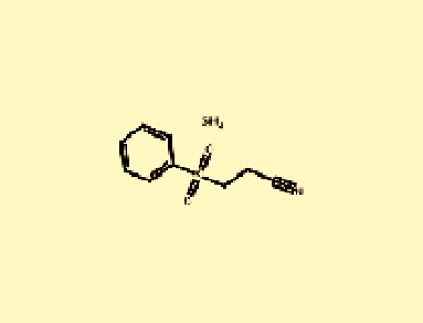 N#CCCS(=O)(=O)c1ccccc1.[SiH4]